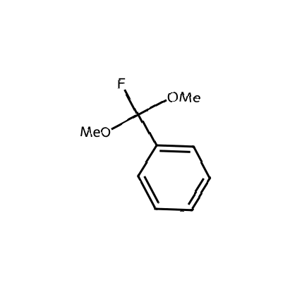 COC(F)(OC)c1ccccc1